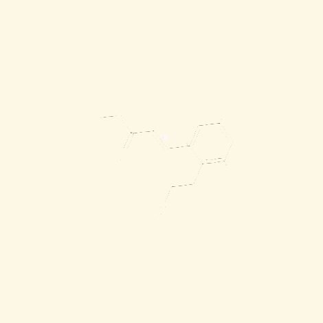 COC(=O)/C=C/c1ccccc1CCO